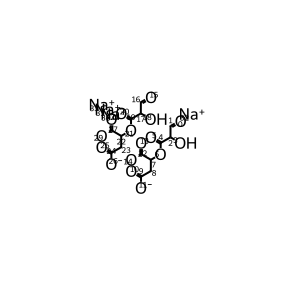 O=CC(O)C(=O)OC(CC(=O)[O-])C(=O)[O-].O=CC(O)C(=O)OC(CC(=O)[O-])C(=O)[O-].[Na+].[Na+].[Na+].[Na+]